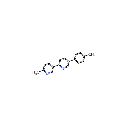 Cc1ccc(-c2ccc(-c3ccc(C)nc3)nc2)cc1